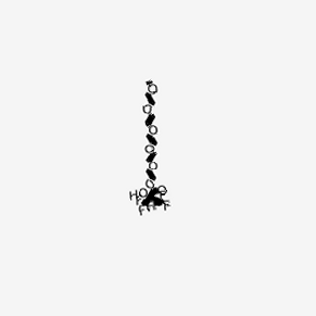 COCCOCCOCCOCCOCCOC(=O)C(O)(C(F)(F)F)C(F)(F)F